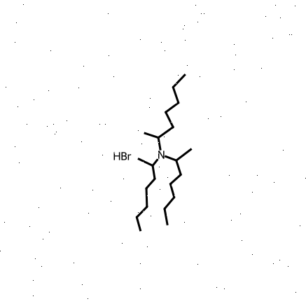 Br.CCCCCC(C)N(C(C)CCCCC)C(C)CCCCC